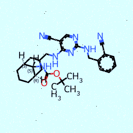 CC(C)(C)OC(=O)N[C@@H]1[C@@H]2CCC[C@H]1CC(CNc1nc(NCc3ccccc3C#N)ncc1C#N)C2